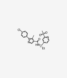 CC[C@H](NC(=O)c1cnn(-c2ccc(Cl)cc2)c1C)c1ccnc(S(C)(=O)=O)c1